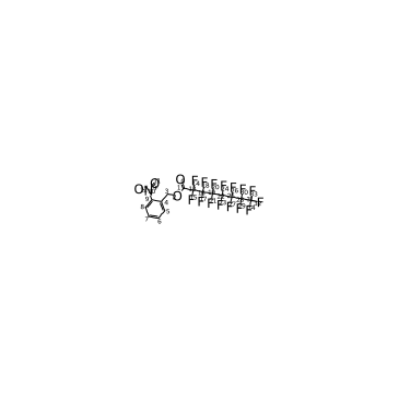 O=C(OCc1ccccc1[N+](=O)[O-])C(F)(F)C(F)(F)C(F)(F)C(F)(F)C(F)(F)C(F)(F)C(F)(F)F